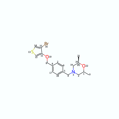 CC1CN(Cc2ccc(COc3cscc3Br)cc2)C[C@@H](C)O1